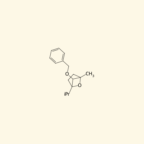 CC(C)C12CCC(C)(O1)C2OCc1ccccc1